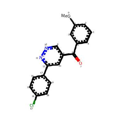 COc1cccc(C(=O)c2cnnc(-c3ccc(Cl)cc3)c2)c1